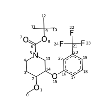 COC1CCN(C(=O)OC(C)(C)C)CC1Oc1cccc(C(F)(F)F)c1